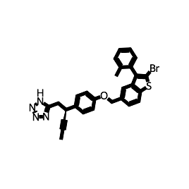 CC#C[C@@H](Cc1nnn[nH]1)c1ccc(OCc2ccc3sc(Br)c(-c4ccccc4C)c3c2)cc1